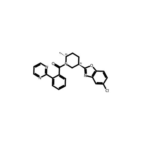 C[C@@H]1CC[C@@H](c2nc3cc(Cl)ccc3o2)CN1C(=O)c1ccccc1-c1ncccn1